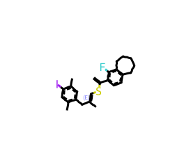 C=C(S/C=C(\C)Cc1cc(C)c(I)cc1C)c1ccc2c(c1F)CCCCC2